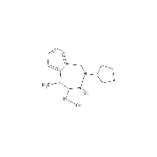 CNC1C(=O)N(C2CCCC2)Cc2ccccc2C1C